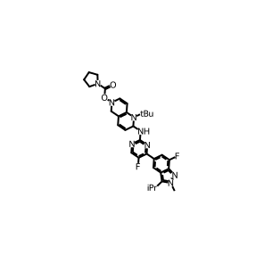 CC(C)c1c2cc(-c3nc(NC4C=CC5=C(C=CN(OC(=O)N6CCCC6)C5)N4C(C)(C)C)ncc3F)cc(F)c2nn1C